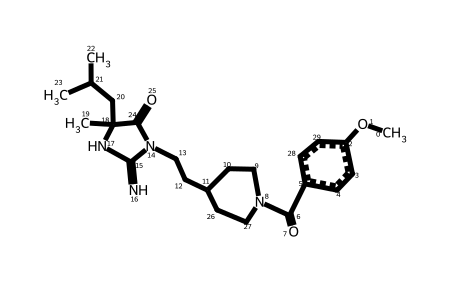 COc1ccc(C(=O)N2CCC(CCN3C(=N)NC(C)(CC(C)C)C3=O)CC2)cc1